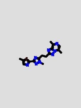 Cc1cnc(-c2nc(CCc3nc4c(C)ncc(C)n4n3)n(C)n2)s1